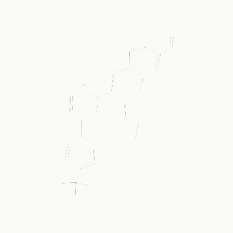 CCCC[C@@H](Oc1ccc(C=O)cc1Cl)c1cccc(-c2ccc(C(F)(F)F)cc2)n1